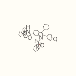 COc1ccc(-c2c(C3CCCCC3)c3ccc(C(=O)NS(=O)(=O)N4CCC4)cc3n2CC2(C(=O)N3C4CCC3CN(C)C4)CC2)cc1